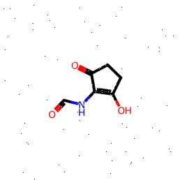 O=CNC1=C(O)CCC1=O